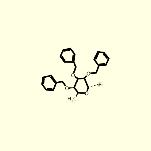 CC(C)[C@@H]1O[C@@H](C)[C@@H](OCc2ccccc2)C(OCc2ccccc2)C1OCc1ccccc1